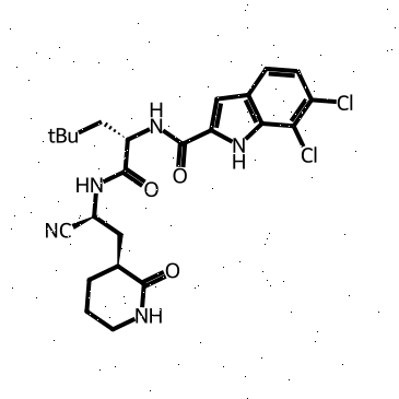 CC(C)(C)C[C@H](NC(=O)c1cc2ccc(Cl)c(Cl)c2[nH]1)C(=O)N[C@H](C#N)C[C@@H]1CCCNC1=O